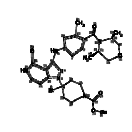 CCC1(n2nc(Nc3ccc(C(=O)N4[C@H](C)COC[C@@H]4C)c(C)c3)c3c(=O)[nH]ccc32)CCN(C(=O)OC(C)(C)C)CC1